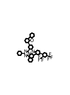 FC(F)(F)c1ccc(-c2ccc3c(c2)c2ccccc2n3-c2ccc(-c3cccc4c3oc3ccccc34)cc2-c2nc(-c3ccccc3)nc(-c3ccccc3)n2)c(C(F)(F)F)c1